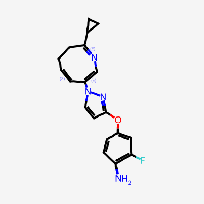 Nc1ccc(Oc2ccn(C3=C/N=C(/C4CC4)CC/C=C\3)n2)cc1F